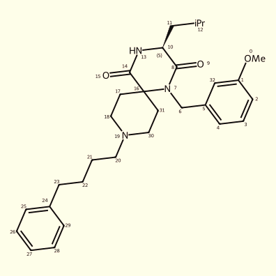 COc1cccc(CN2C(=O)[C@H](CC(C)C)NC(=O)C23CCN(CCCCc2ccccc2)CC3)c1